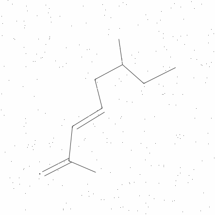 [CH]=C(C)C=CCC(C)CC